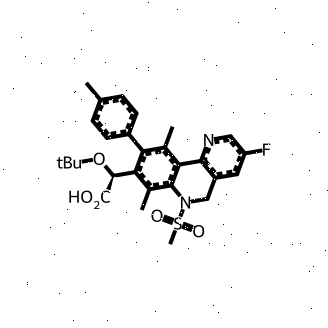 Cc1ccc(-c2c(C)c3c(c(C)c2[C@H](OC(C)(C)C)C(=O)O)N(S(C)(=O)=O)Cc2cc(F)cnc2-3)cc1